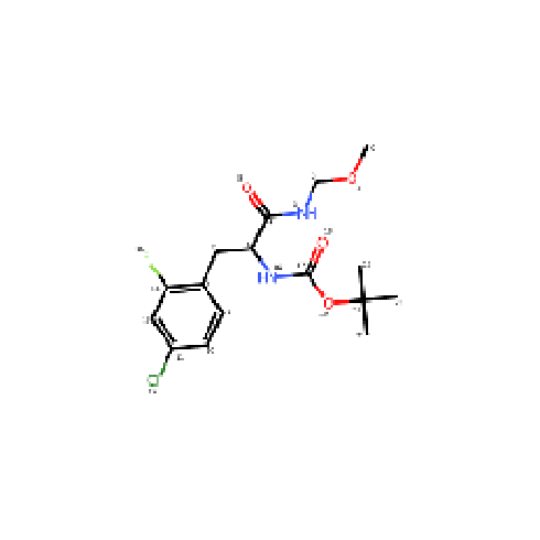 COCNC(=O)C(Cc1ccc(Cl)cc1F)NC(=O)OC(C)(C)C